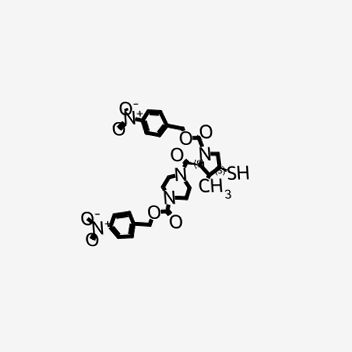 CC1[C@H](S)CN(C(=O)OCc2ccc([N+](=O)[O-])cc2)[C@@H]1C(=O)N1CCN(C(=O)OCc2ccc([N+](=O)[O-])cc2)CC1